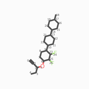 C#CC(CC)OC1CCC(C2CCC(C3CCC(C)CC3)CC2)C(F)C1F